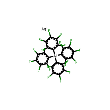 Fc1c(F)c(F)[c]([Al-]([c]2c(F)c(F)c(F)c(F)c2F)([c]2c(F)c(F)c(F)c(F)c2F)[c]2c(F)c(F)c(F)c(F)c2F)c(F)c1F.[Ag+]